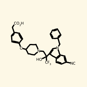 [C-]#[N+]c1ccc2c(C(O)(CN3CCC(Oc4ccc(CC(=O)O)cc4)CC3)C(F)(F)F)cn(Cc3ccccc3)c2c1